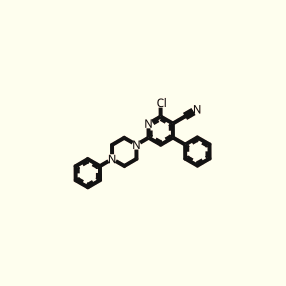 N#Cc1c(-c2ccccc2)cc(N2CCN(c3ccccc3)CC2)nc1Cl